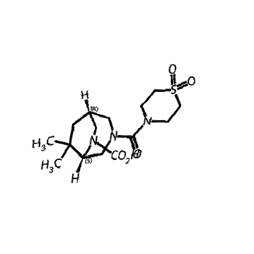 CC1(C)C[C@@H]2CN(C(=O)N3CCS(=O)(=O)CC3)C[C@H]1N(C(=O)O)C2